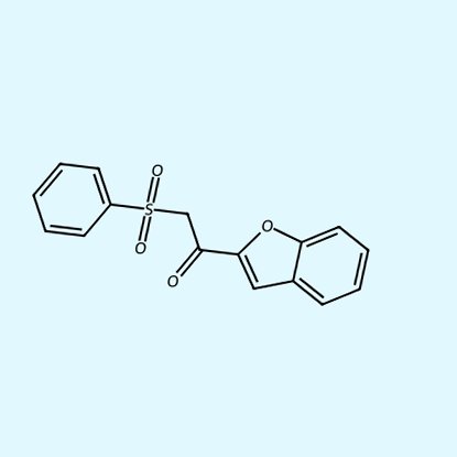 O=C(CS(=O)(=O)c1ccccc1)c1cc2ccccc2o1